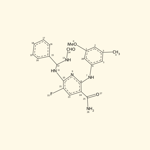 COc1cc(C)cc(Nc2nc(NC(NC=O)c3ccccc3)c(F)cc2C(N)=O)c1